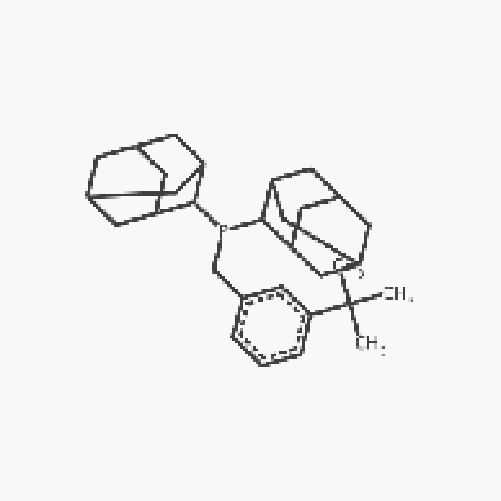 CC(C)(C)c1cccc(CP(C2C3CC4CC(C3)CC2C4)C2C3CC4CC(C3)CC2C4)c1